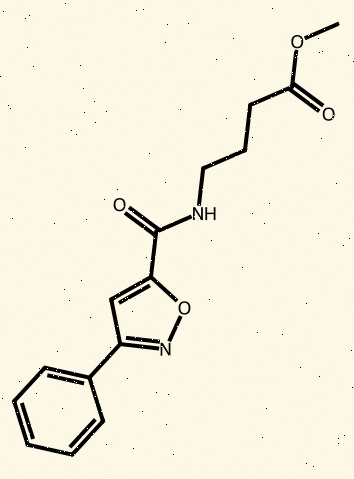 COC(=O)CCCNC(=O)c1cc(-c2ccccc2)no1